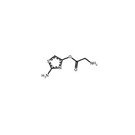 NCC(=O)Oc1csc(N)n1